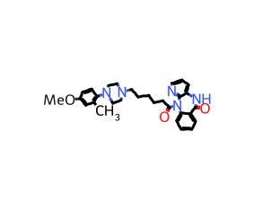 COc1ccc(N2CCN(CCCCCC(=O)N3c4ccccc4C(=O)Nc4cccnc43)CC2)c(C)c1